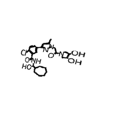 Cc1cc(-c2ccc(Cl)c(C(=O)NC(O)C3CCCCCC3)c2)nn1CC(=O)N1CC(O)C(O)C1